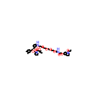 CCC(=O)N1CCCc2cc(OCC(=O)NCCOCCOCCOCCOCCC(=O)Nc3cccc([C@@H](CCc4ccc(C)c(C)c4)OC(=O)[C@@H]4CCCCN4C(=O)C(=O)C(C)(C)CC)c3)ccc21